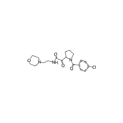 O=C(NCCN1CCOCC1)C(=O)C1CCCN1C(=O)c1ccc(Cl)cc1